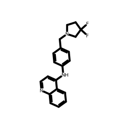 FC1(F)CCN(Cc2ccc(Nc3ccnc4ccccc34)cc2)C1